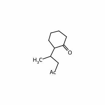 CC(=O)CC(C)C1CCCCC1=O